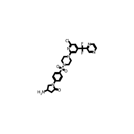 NC1CC(=O)N(c2ccc(S(=O)(=O)N3CCN(c4cc(C(F)(F)c5cnccn5)cc(Cl)n4)CC3)cc2)C1